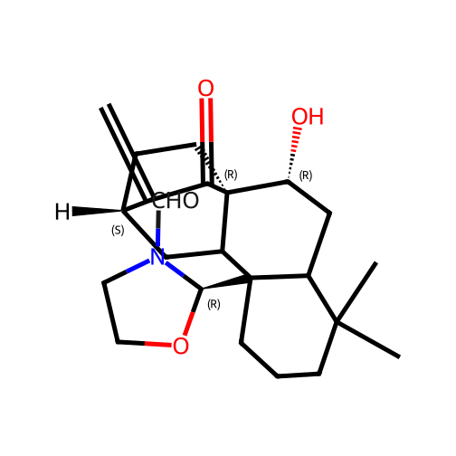 C=C1C(=O)[C@]23CC[C@H]1CC2C1([C@H]2OCCN2C=O)CCCC(C)(C)C1C[C@H]3O